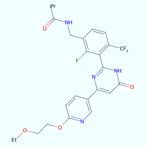 CCOCCOc1ccc(-c2cc(=O)[nH]c(-c3c(C(F)(F)F)ccc(CNC(=O)C(C)C)c3F)n2)cn1